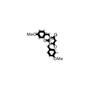 COc1ccc(CN2C(=O)CC(=O)N(Cc3ccc(OC)cc3)C2=O)cc1